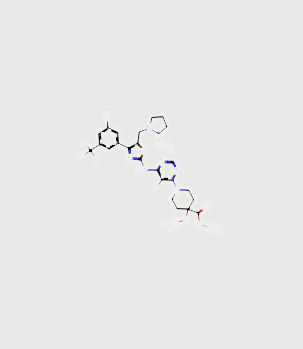 COC(=O)C1(OC)CCN(c2ncnc(Nc3nc(-c4cc(F)cc(C(F)(F)F)c4)c(CN4CCC[C@H]4C)s3)c2F)CC1